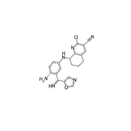 N#Cc1cc2c(nc1Cl)C(Nc1ccc(N)c(C(=N)c3cnco3)c1)CCC2